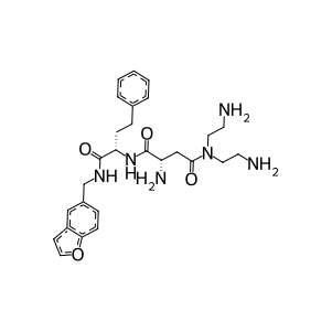 NCCN(CCN)C(=O)C[C@H](N)C(=O)N[C@@H](CCc1ccccc1)C(=O)NCc1ccc2occc2c1